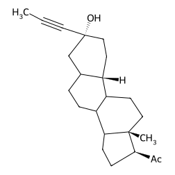 CC#C[C@@]1(O)CC[C@H]2C(CCC3C2CC[C@@]2(C)C3CC[C@@H]2C(C)=O)C1